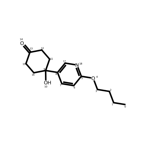 CCCCOc1ccc(C2(O)CCC(=O)CC2)cn1